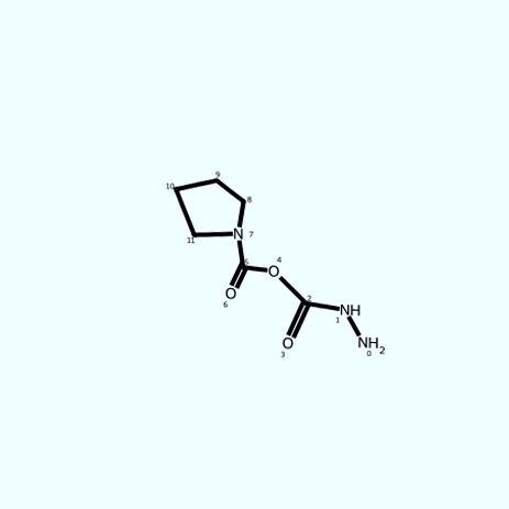 NNC(=O)OC(=O)N1CCCC1